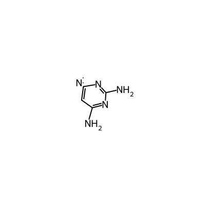 Nc1ccnc(N)n1.[N]